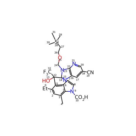 CCc1cc(C)c2c(ccn2C(=O)O)c1C(O)(c1nc2cc(C#N)cnc2n1COCC[Si](C)(C)C)C(F)(F)F